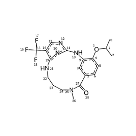 CC(C)Oc1ccc2cc1Nc1ncc(C(F)(F)F)c(n1)NCCCN(C)C2=O